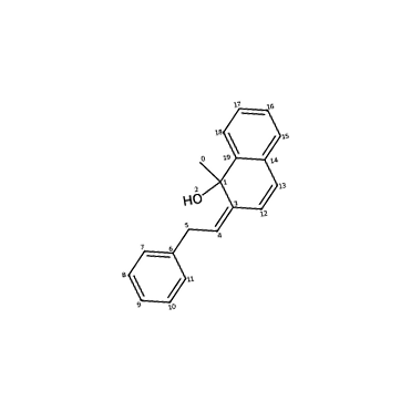 CC1(O)C(=CCc2ccccc2)C=Cc2ccccc21